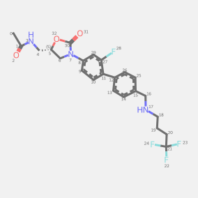 CC(=O)NC[C@H]1CN(c2ccc(-c3ccc(CNCCCC(F)(F)F)cc3)c(F)c2)C(=O)O1